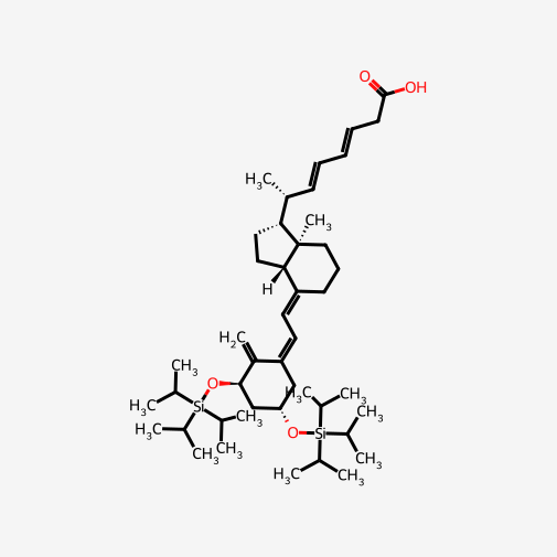 C=C1/C(=C\C=C2CCC[C@]3(C)[C@@H]([C@H](C)C=CC=CCC(=O)O)CC[C@@H]23)C[C@H](O[Si](C(C)C)(C(C)C)C(C)C)C[C@H]1O[Si](C(C)C)(C(C)C)C(C)C